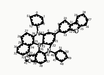 c1ccc(N2c3cc(-c4ccc5c(c4)oc4ccccc45)cc4c3B(c3c2ccc2ccccc32)c2c(ccc3ccccc23)N4c2ccccc2)cc1